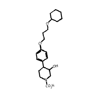 O=C(O)N1CCC(c2ccc(OCCCOC3CCCCC3)cc2)C(O)C1